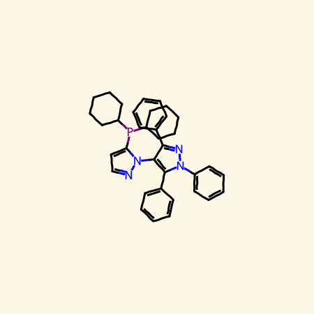 c1ccc(-c2nn(-c3ccccc3)c(-c3ccccc3)c2-n2nccc2P(C2CCCCC2)C2CCCCC2)cc1